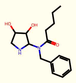 CCCCC(=O)N(Cc1ccccc1)C1NCC(O)C1O